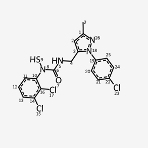 Cc1cc(CNC(=O)N(S)c2cccc(Cl)c2Cl)n(-c2ccc(Cl)cc2)n1